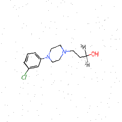 [2H]C([2H])(O)CCN1CCN(c2cccc(Cl)c2)CC1